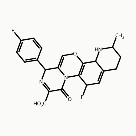 CC1CCC2=CC(F)C3=C(OC=C4C(c5ccc(F)cc5)N=C(C(=O)O)C(=O)N43)C2N1